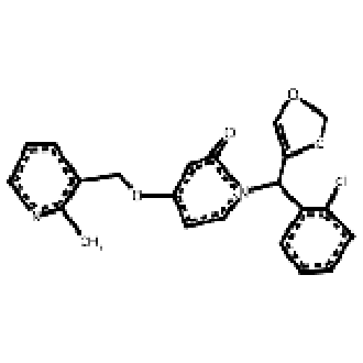 Cc1ncccc1COc1ccn(C(C2=COCO2)c2ccccc2Cl)c(=O)c1